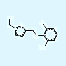 CCn1ccc(CNc2c(N)cccc2Cl)n1